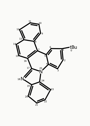 CC(C)(C)c1ccc2c(c1)c1c3ccccc3ccc1c1nc3ccccc3n21